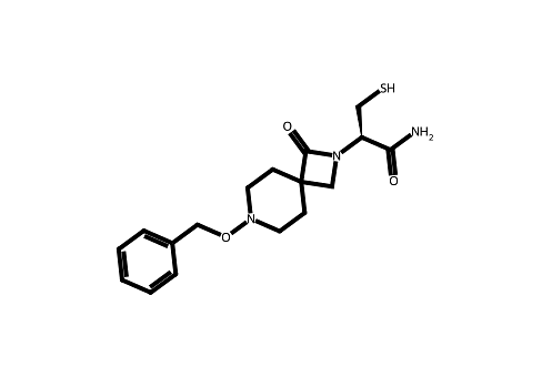 NC(=O)[C@H](CS)N1CC2(CCN(OCc3ccccc3)CC2)C1=O